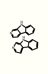 c1ccc2c(c1)[nH]c1cnccc12.c1ccc2c(c1)[nH]c1cnccc12